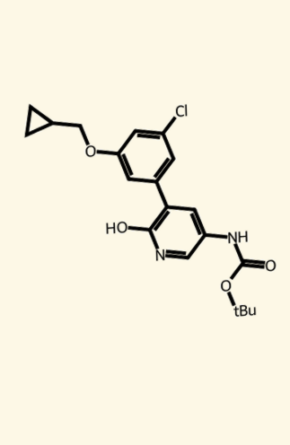 CC(C)(C)OC(=O)Nc1cnc(O)c(-c2cc(Cl)cc(OCC3CC3)c2)c1